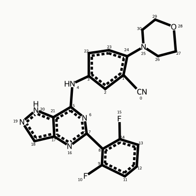 N#Cc1cc(Nc2nc(-c3c(F)cccc3F)nc3cn[nH]c23)ccc1N1CCOCC1